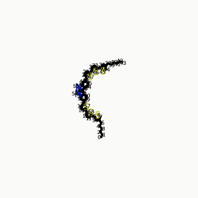 CCCCCCc1csc(-c2ccc(-c3ccc(-c4ccc5c6c7ccc(-c8ccc(-c9ccc(-c%10cc(CCCCCC)cs%10)s9)s8)cc7n(C)c6n(C)c5c4)s3)s2)c1